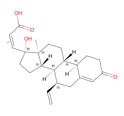 C=C[C@@H]1CC2=CC(=O)CC[C@@H]2[C@H]2CC[C@@]3(C)[C@@H](CC[C@@]3(O)/C=C\C(=O)O)[C@@H]21